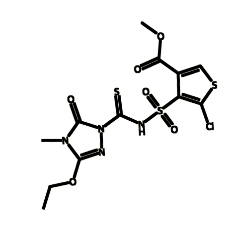 CCOc1nn(C(=S)NS(=O)(=O)c2c(C(=O)OC)csc2Cl)c(=O)n1C